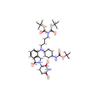 CC(C)(C)OC(=O)NC1CCC(N(CCCCN(C(=O)OC(C)(C)C)C(=O)OC(C)(C)C)c2cccc3c2CN(C2CCC(=O)NC2=O)C3=O)CC1